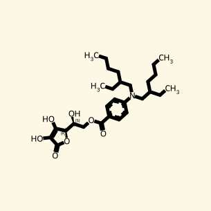 CCCCC(CC)CN(CC(CC)CCCC)c1ccc(C(=O)OC[C@H](O)[C@H]2OC(=O)C(O)=C2O)cc1